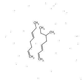 C=CC=CCC(C)CC.C=CCCC=CCC